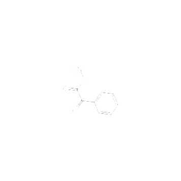 O=C(O[N+](=O)[O-])C(=O)c1ccccc1